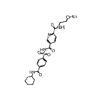 CCOCCNC(=O)c1ccc(C(=O)NS(=O)(=O)c2ccc(C(=O)NC3CCCCC3)cc2)cn1